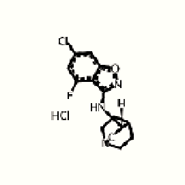 Cl.Fc1cc(Cl)cc2onc(N[C@H]3CN4CCC3CC4)c12